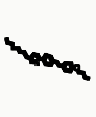 CCCCCCCCc1ccc(-c2ccc(CCc3ccc(OCCCC)cc3)cc2)nc1